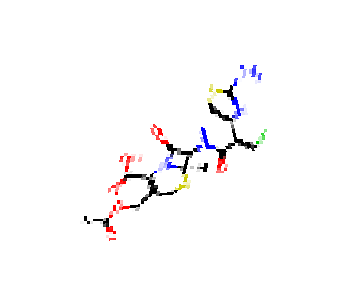 CC(=O)OCC1=C(C(=O)O)N2C(=O)C(NC(=O)/C(=C/Cl)c3csc(N)n3)[C@H]2SC1